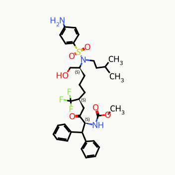 COC(=O)N[C@H](C(=O)C[C@H](CCC[C@@H](CO)N(CCC(C)C)S(=O)(=O)c1ccc(N)cc1)C(F)(F)F)C(c1ccccc1)c1ccccc1